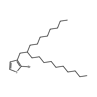 CCCCCCCCCCC(CCCCCCCC)Cc1ccsc1Br